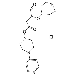 Cl.O=CC(CC(=O)ON1CCN(c2ccncc2)CC1)OC1CCNCC1